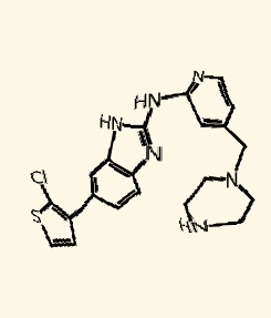 Clc1sccc1-c1ccc2nc(Nc3cc(CN4CCNCC4)ccn3)[nH]c2c1